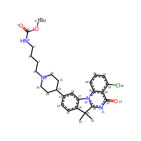 CC(C)(C)OC(=O)NCCCCN1CCC(c2ccc3c(c2)-n2c(nc(=O)c4c(Cl)cccc42)C3(C)C)CC1